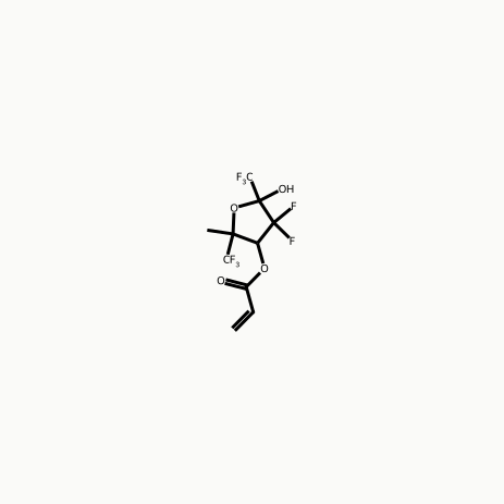 C=CC(=O)OC1C(F)(F)C(O)(C(F)(F)F)OC1(C)C(F)(F)F